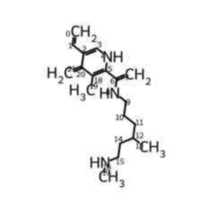 C=CC1=CNC(C(=C)NCCCC(C)CCNC)=C(C)C1=C